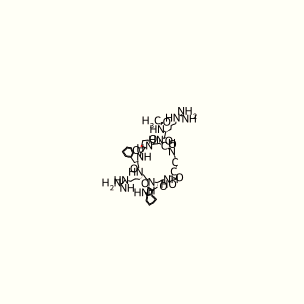 CC(=O)N[C@@H](CCCNC(=N)N)C(=O)N[C@H]1CC(=O)NCCCC[C@@H](C(=O)O)NC(=O)[C@H](Cc2c[nH]c3ccccc23)NC(=O)[C@H](CCCNC(=N)N)NC(=O)[C@@H](Cc2ccccc2)NC(=O)[C@@H]2CCCN2C1=O